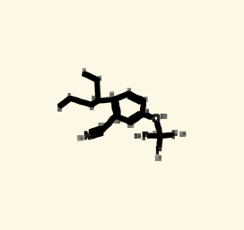 CCCC(CC)c1ccc(OC(F)(F)F)cc1C#N